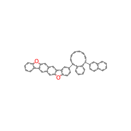 c1cccc(-c2ccc3oc4cc5cc6c(cc5cc4c3c2)oc2ccccc26)c2ccccc2c(-c2ccc3ccccc3c2)cc1